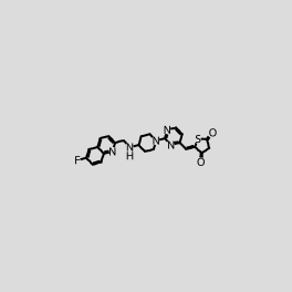 O=C1CC(=O)/C(=C/c2ccnc(N3CCC(NCc4ccc5cc(F)ccc5n4)CC3)n2)S1